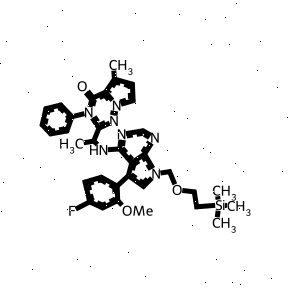 COc1cc(F)ccc1-c1cn(COCC[Si](C)(C)C)c2ncnc(NC(C)c3nn4ccc(C)c4c(=O)n3-c3ccccc3)c12